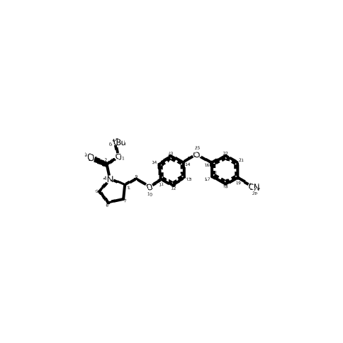 CC(C)(C)OC(=O)N1CCCC1COc1ccc(Oc2ccc(C#N)cc2)cc1